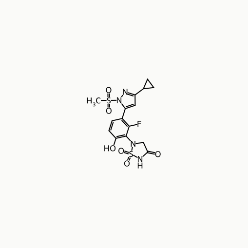 CS(=O)(=O)n1nc(C2CC2)cc1-c1ccc(O)c(N2CC(=O)NS2(=O)=O)c1F